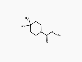 CCCC1(N)CCN(C(=O)OC(C)(C)C)CC1